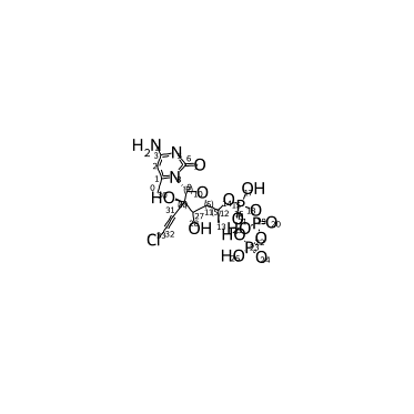 Cc1cc(N)nc(=O)n1[C@@H]1O[C@H]([C@H](C)OP(=O)(O)OP(=O)(O)OP(=O)(O)O)C(O)[C@]1(O)C#CCl